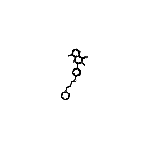 Cc1cccc2c(=O)n(C)c(-c3ccc(OCCCN4CCCCC4)cc3)nc12